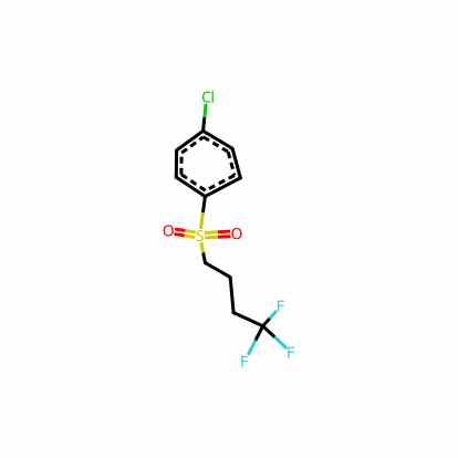 O=S(=O)(CCCC(F)(F)F)c1ccc(Cl)cc1